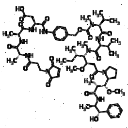 CC[C@H](C)[C@@H]([C@@H](CC(=O)N1CCC[C@H]1[C@H](OC)[C@@H](C)C(=O)N[C@H](C)[C@@H](O)c1ccccc1)OC)N(C)C(=O)[C@@H](NC(=O)[C@H](C(C)C)N(C)C(=O)OCc1ccc(NC(=O)[C@H](CC(=O)O)NC(=O)[C@H](C)NC(=O)[C@@H](C)NC(=O)CCN2C(=O)C=CC2=O)cc1)C(C)C